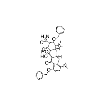 CN(C)c1ccc(OCc2ccccc2)c2c1C[C@H]1C[C@H]3[C@H](N(C)C)C(OCc4ccccc4)C(C(N)=O)C(=O)[C@@]3(O)C(O)=C1C2=O